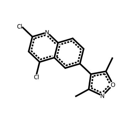 Cc1noc(C)c1-c1ccc2nc(Cl)cc(Cl)c2c1